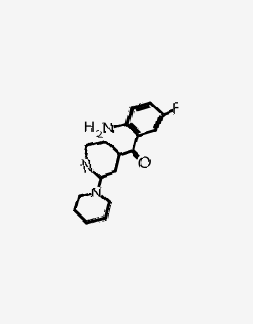 Nc1ccc(F)cc1C(=O)C1CC[N]C(N2CCCCC2)C1